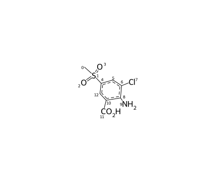 CS(=O)(=O)c1cc(Cl)c(N)c(C(=O)O)c1